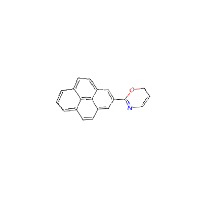 C1=CN=C(c2cc3ccc4cccc5ccc(c2)c3c45)OC1